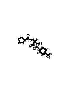 CC(C#N)(COC(=O)C1CCCC1)NC(=O)c1ccc(C(F)(F)F)cc1